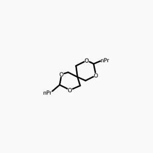 CCCC1OCC2(CO1)COC(CCC)OC2